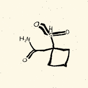 NC(=O)C1([SH](=O)=O)CCC1